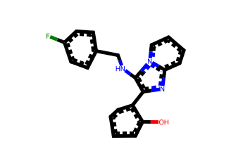 Oc1ccccc1-c1nc2ccccn2c1NCc1ccc(F)cc1